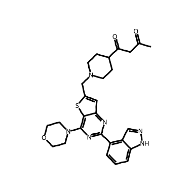 CC(=O)CC(=O)C1CCN(Cc2cc3nc(-c4cccc5[nH]ncc45)nc(N4CCOCC4)c3s2)CC1